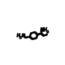 CCC(N)C1CCC(CN)CC1